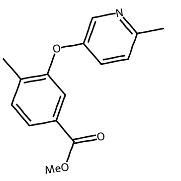 COC(=O)c1ccc(C)c(Oc2ccc(C)nc2)c1